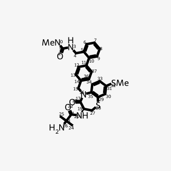 CNC(=O)NCc1ccccc1-c1ccc(CN2C(=O)[C@H](NC(=O)C(C)(C)N)CSc3cc(SC)ccc32)cc1